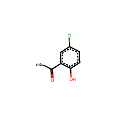 CCCCC(=O)c1cc(Cl)ccc1O